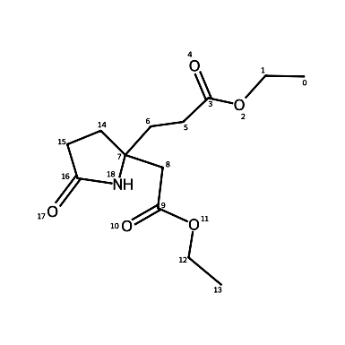 CCOC(=O)CCC1(CC(=O)OCC)CCC(=O)N1